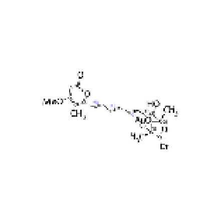 CC[C@H]1O[C@]2(C)C(OC(C)=O)[C@@]1(C)O[C@@H](/C=C/C=C/C=C/c1oc(=O)cc(OC)c1C)[C@@H]2O